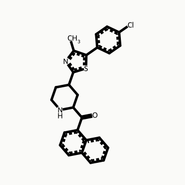 Cc1nc(C2CCNC(C(=O)c3cccc4ccccc34)C2)sc1-c1ccc(Cl)cc1